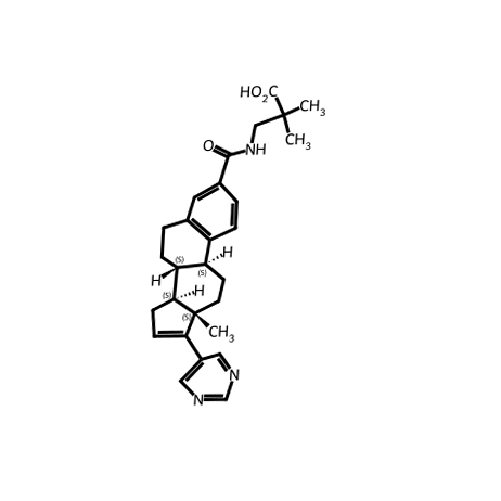 CC(C)(CNC(=O)c1ccc2c(c1)CC[C@@H]1[C@@H]2CC[C@]2(C)C(c3cncnc3)=CC[C@@H]12)C(=O)O